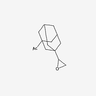 CC(=O)C12CC3CC(C1)CC(C1CO1)(C3)C2